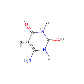 Cn1c(N)cc(=O)n(C)c1=O.[Zn]